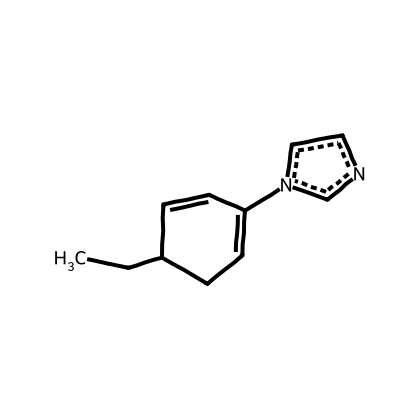 CCC1C=CC(n2ccnc2)=CC1